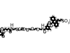 Cc1cc(C(=O)NCCOCCOCCOCCOCCOCCNC(=O)CCCC(=O)ON2C(=O)CCC2=O)cc(C)c1OC(=O)c1c2ccccc2[n+](CCCS(=O)(=O)O)c2ccccc12